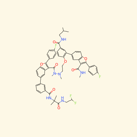 CNC(=O)c1c(-c2ccc(F)cc2)oc2ccc(-c3cc(C(=O)NCC(C)C)ccc3OCCN(C)N(C)C(=O)c3c(-c4ccc(F)cc4)oc4ccc(-c5cccc(C(=O)NC(C)(C)C(=O)NCC(F)F)c5)cc34)cc12